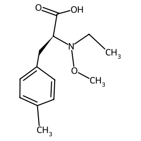 CCN(OC)[C@@H](Cc1ccc(C)cc1)C(=O)O